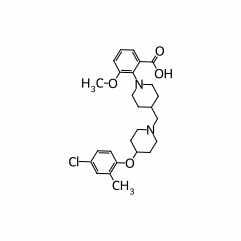 COc1cccc(C(=O)O)c1N1CCC(CN2CCC(Oc3ccc(Cl)cc3C)CC2)CC1